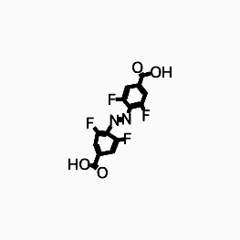 O=C(O)c1cc(F)c(/N=N/c2c(F)cc(C(=O)O)cc2F)c(F)c1